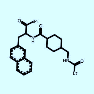 CCC(=O)NCC1CCC(C(=O)NC(Cc2ccc3ccccc3c2)C(=O)C(C)C)CC1